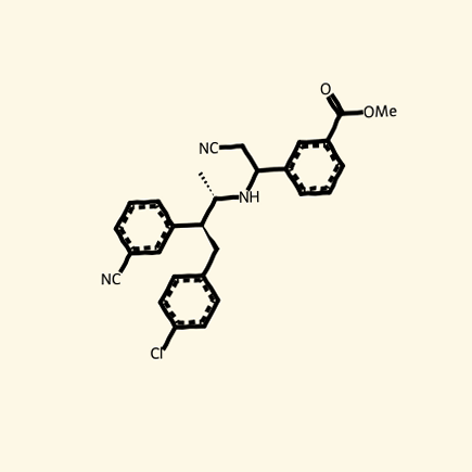 COC(=O)c1cccc(C(CC#N)N[C@@H](C)[C@@H](Cc2ccc(Cl)cc2)c2cccc(C#N)c2)c1